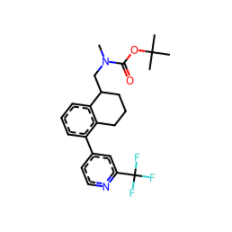 CN(CC1CCCc2c(-c3ccnc(C(F)(F)F)c3)cccc21)C(=O)OC(C)(C)C